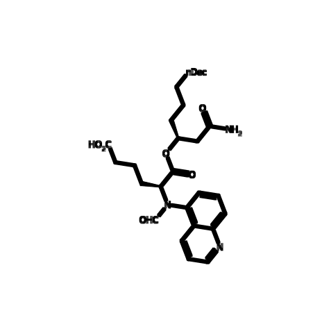 CCCCCCCCCCCCC[C@@H](CC(N)=O)OC(=O)[C@H](CCCC(=O)O)N(C=O)c1cccc2ncccc12